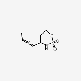 CC=C=CC1CCOS(=O)(=O)N1